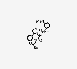 CNc1cccc(NC(=O)CN2N=C(CC(C)C)c3ccccc3N(CC(=O)C(C)(C)C)C2=O)c1